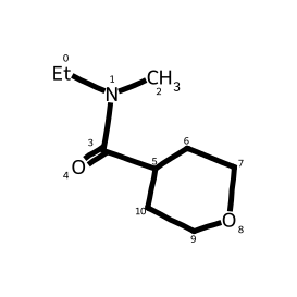 [CH2]CN(C)C(=O)C1CCOCC1